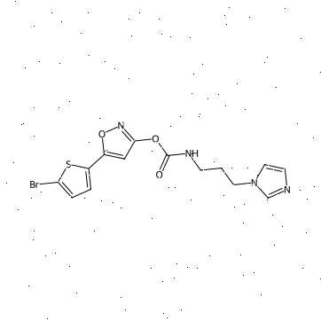 O=C(NCCCn1ccnc1)Oc1cc(-c2ccc(Br)s2)on1